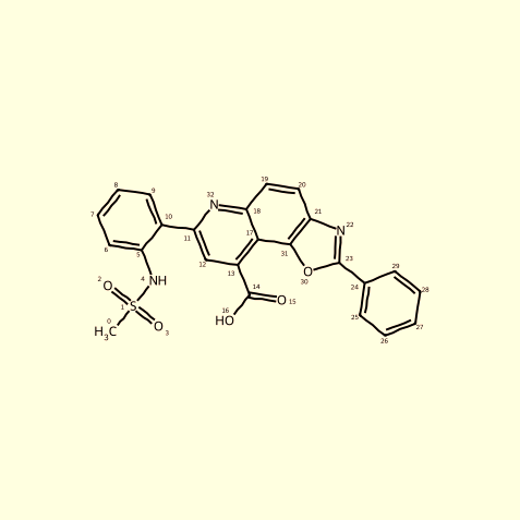 CS(=O)(=O)Nc1ccccc1-c1cc(C(=O)O)c2c(ccc3nc(-c4ccccc4)oc32)n1